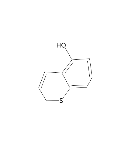 Oc1cccc2c1C=CCS2